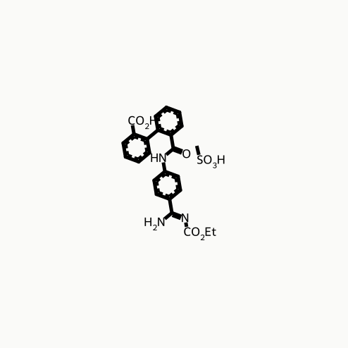 CCOC(=O)N=C(N)c1ccc(NC(=O)c2ccccc2-c2ccccc2C(=O)O)cc1.CS(=O)(=O)O